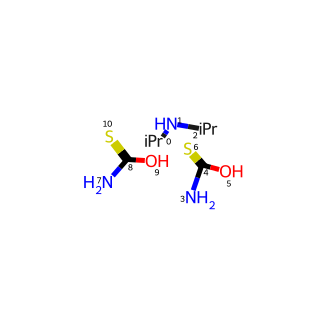 CC(C)NC(C)C.NC(O)=S.NC(O)=S